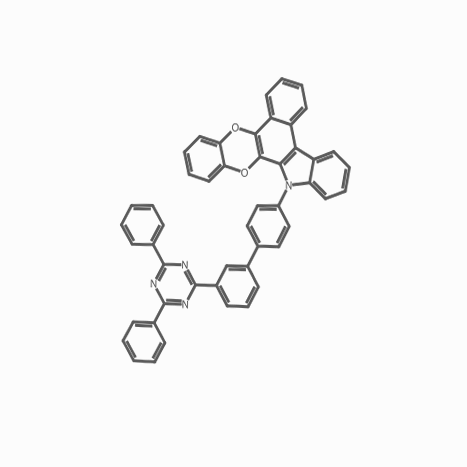 c1ccc(-c2nc(-c3ccccc3)nc(-c3cccc(-c4ccc(-n5c6ccccc6c6c7ccccc7c7c(c65)Oc5ccccc5O7)cc4)c3)n2)cc1